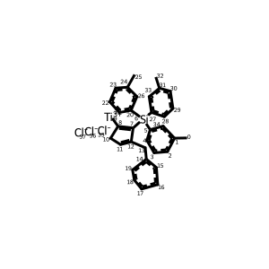 Cc1cccc([Si](C2=[C]([Ti+3])CC=C2Cc2ccccc2)(c2cccc(C)c2)c2cccc(C)c2)c1.[Cl-].[Cl-].[Cl-]